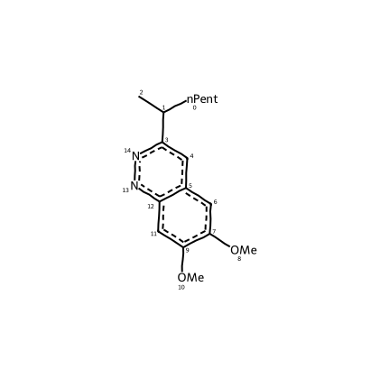 CCCCCC(C)c1cc2cc(OC)c(OC)cc2nn1